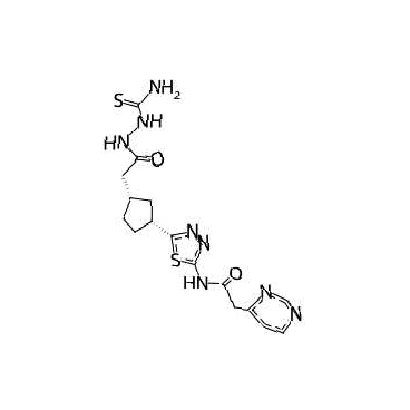 NC(=S)NNC(=O)C[C@H]1CC[C@@H](c2nnc(NC(=O)Cc3ccncn3)s2)C1